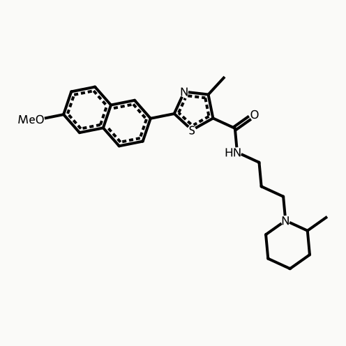 COc1ccc2cc(-c3nc(C)c(C(=O)NCCCN4CCCCC4C)s3)ccc2c1